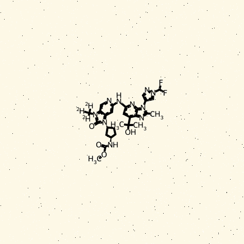 [2H]C([2H])([2H])n1c(=O)n([C@@H]2CC[C@@H](NC(=O)OC)C2)c2cc(Nc3cc(C(C)(C)O)c4nc(C)n(-c5cnn(C(F)F)c5)c4n3)ncc21